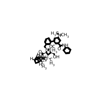 COc1c(CN2O[C@@H](CO)[C@H]([C@H](C)O)[C@H]2C(=O)N[C@H]2C[C@H]3C[C@@H]([C@@H]2C)C3(C)C)cccc1-c1cc(C(=O)Nc2ccccc2)cc(N(C)C)c1